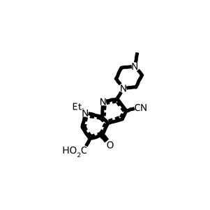 CCn1cc(C(=O)O)c(=O)c2cc(C#N)c(N3CCN(C)CC3)nc21